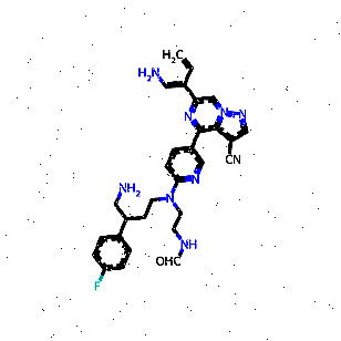 C=C/C(=C\N)c1cn2ncc(C#N)c2c(-c2ccc(N(CCNC=O)CCC(CN)c3ccc(F)cc3)nc2)n1